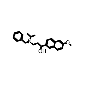 COc1ccc2cc(C(O)CCN(Cc3ccccc3)C(C)C)ccc2c1